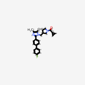 Cc1nc(-c2ccc(-c3ccc(F)cc3)cc2)n(CC2CCN(C(=O)C3CC3)C2)c1C